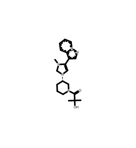 CN1CN([C@H]2CCCN(C(=O)C(C)(C)O)C2)C=C1c1cnn2ccccc12